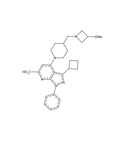 COC1CN(CC2CCN(c3cc(C(=O)O)nc4c3c(C3CCC3)nn4-c3ccccc3)CC2)C1